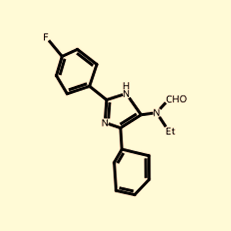 CCN(C=O)c1[nH]c(-c2ccc(F)cc2)nc1-c1ccccc1